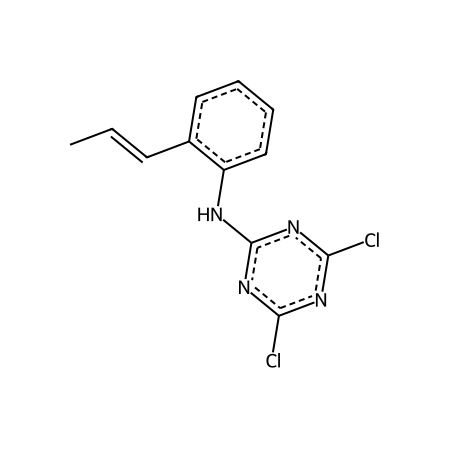 CC=Cc1ccccc1Nc1nc(Cl)nc(Cl)n1